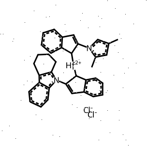 Cc1cc(C)n(C2=Cc3ccccc3[CH]2[Hf+2][CH]2C(n3c4c(c5ccccc53)CCCC4)=Cc3ccccc32)c1.[Cl-].[Cl-]